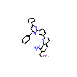 Nc1c(/C=C\P)ccc2ccc(-c3cccc(-c4nc(-c5ccccc5)cc(-c5ccccc5)n4)c3)nc12